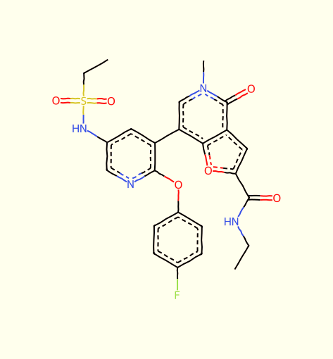 CCNC(=O)c1cc2c(=O)n(C)cc(-c3cc(NS(=O)(=O)CC)cnc3Oc3ccc(F)cc3)c2o1